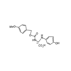 COc1ccc(COC(=O)N[C@H](Nc2ccc(O)cc2)C(=O)O)cc1